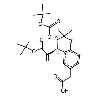 CC(C)(C)OC(=O)N[C@@H]1c2cc(CC(=O)O)ccc2OC(C)(C)[C@H]1OC(=O)OC(C)(C)C